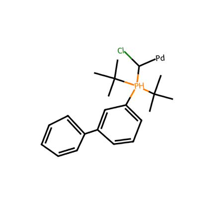 CC(C)(C)[PH](c1cccc(-c2ccccc2)c1)([CH](Cl)[Pd])C(C)(C)C